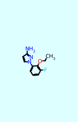 CCOc1c(F)cccc1-n1ccc(N)n1